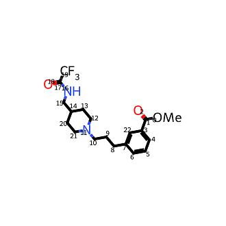 COC(=O)c1cccc(CCCN2CCC(CNC(=O)C(F)(F)F)CC2)c1